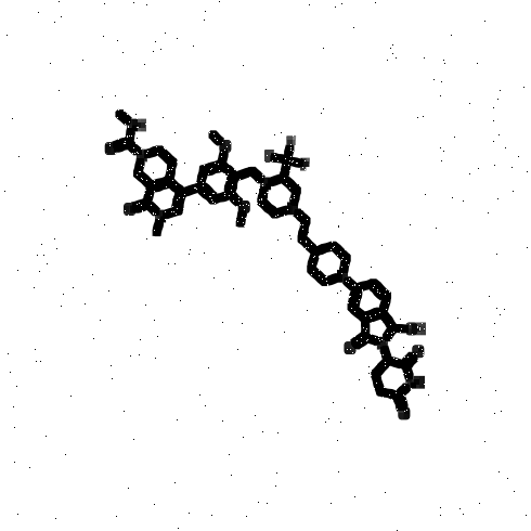 CNC(=O)N1CCc2c(-c3cc(OC)c(CN4CCN(CCC5CCN(c6ccc7c(c6)C(=O)N(C6CCC(=O)NC6=O)C7O)CC5)CC4C(F)(F)F)c(OC)c3)cn(C)c(=O)c2C1